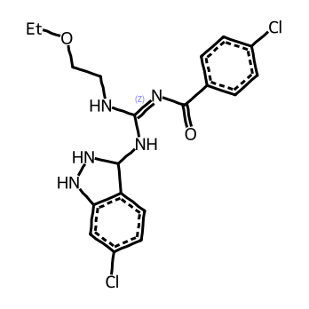 CCOCCN/C(=N/C(=O)c1ccc(Cl)cc1)NC1NNc2cc(Cl)ccc21